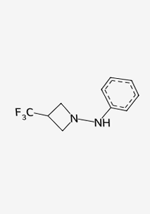 FC(F)(F)C1CN(Nc2ccccc2)C1